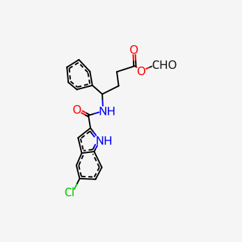 O=COC(=O)CCC(NC(=O)c1cc2cc(Cl)ccc2[nH]1)c1ccccc1